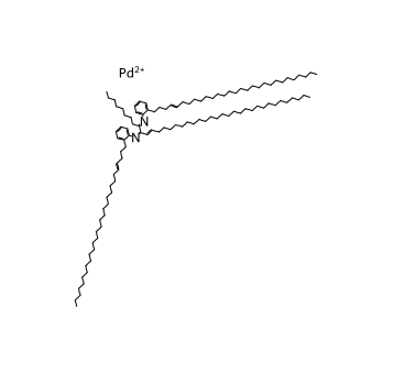 CCCCCCCCCCCCCCCCCCCCCCCC/C=C/CCCc1ccccc1/N=C(/C=C/CCCCCCCCCCCCCCCCCCCCCCCCCCC)C(\CCCCCCCC)=N\c1ccccc1CCC/C=C/CCCCCCCCCCCCCCCCCCCCCCCC.[Pd+2]